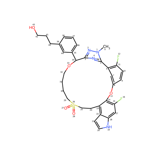 Cn1nc2nc1-c1cc(ccc1F)Oc1c(F)cc3[nH]ccc3c1CCS(=O)(=O)CCCCOC2c1cccc(CCCO)c1